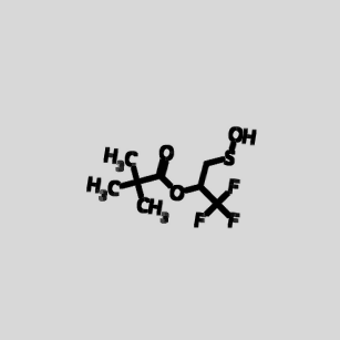 CC(C)(C)C(=O)OC(CSO)C(F)(F)F